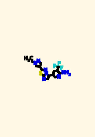 CCn1cc(-c2nn3c(-c4cnc(N)c(C(F)(F)F)c4)cnc3s2)cn1